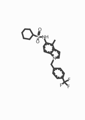 Cc1c(NS(=O)(=O)C2CCCCC2)ccc2c1ccn2Cc1ccc(C(F)(F)F)cc1